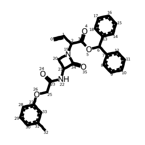 C=CC(C(=O)OC(c1ccccc1)c1ccccc1)N1CC(NC(=O)COc2cccc(C)c2)C1=O